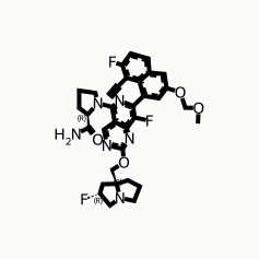 C#Cc1c(F)ccc2cc(OCOC)cc(-c3nc(N4CCC[C@@H]4C(N)=O)c4cnc(OC[C@@]56CCCN5C[C@H](F)C6)nc4c3F)c12